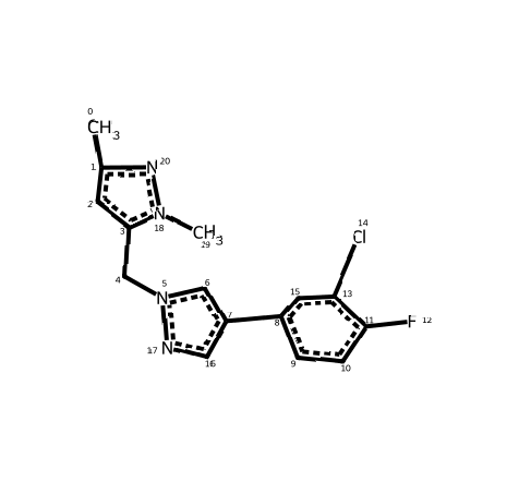 Cc1cc(Cn2cc(-c3ccc(F)c(Cl)c3)cn2)n(C)n1